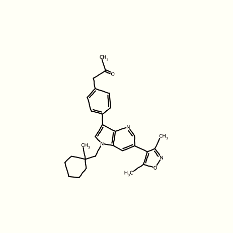 CC(=O)Cc1ccc(-c2cn(CC3(C)CCCCC3)c3cc(-c4c(C)noc4C)cnc23)cc1